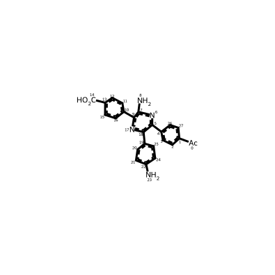 CC(=O)c1ccc(-c2nc(N)c(-c3ccc(C(=O)O)cc3)nc2-c2ccc(N)cc2)cc1